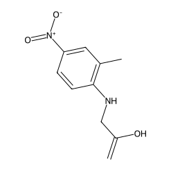 C=C(O)CNc1ccc([N+](=O)[O-])cc1C